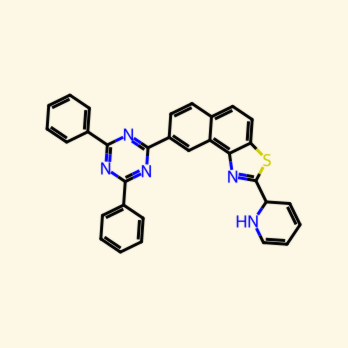 C1=CNC(c2nc3c(ccc4ccc(-c5nc(-c6ccccc6)nc(-c6ccccc6)n5)cc43)s2)C=C1